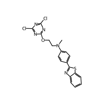 CN(CCOc1nc(Cl)nc(Cl)n1)c1ccc(-c2nc3ccccc3s2)cc1